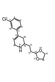 Clc1cccc(C2=CCNC(CCC3OCCO3)C2)c1